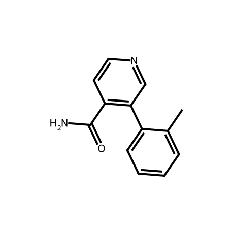 Cc1ccccc1-c1cnccc1C(N)=O